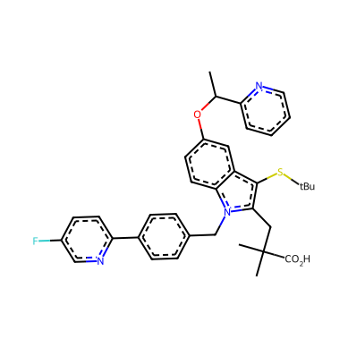 CC(Oc1ccc2c(c1)c(SC(C)(C)C)c(CC(C)(C)C(=O)O)n2Cc1ccc(-c2ccc(F)cn2)cc1)c1ccccn1